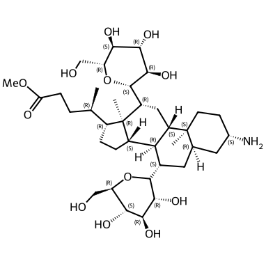 COC(=O)CC[C@@H](C)[C@H]1CC[C@H]2[C@@H]3[C@@H](C4O[C@H](CO)[C@@H](O)[C@H](O)[C@H]4O)C[C@@H]4C[C@@H](N)CC[C@]4(C)[C@H]3C[C@@H]([C@@H]3O[C@H](CO)[C@@H](O)[C@H](O)[C@H]3O)[C@]12C